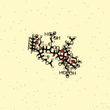 COC(=O)C(C(C)(C)CC(C(=O)OCCP(=O)(O)O)C(C)(C)C(C)(N)CC(C)(C(=O)OCCN(C)S(=O)(=O)C(F)(F)C(F)(F)C(F)(F)C(F)(F)F)C(C)(C)SC(=S)OC(C)C)C(C)(C)CC(C)(C(=O)OCCP(=O)(O)O)C(C)(C)CC(C)(C(=O)OCCN(C)S(=O)(=O)C(F)(F)C(F)(F)C(F)(F)C(F)(F)F)C(C)(N)SC(=S)OC(C)C